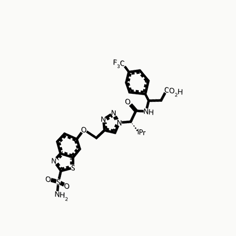 CC(C)[C@@H](C(=O)NC(CC(=O)O)c1ccc(C(F)(F)F)cc1)n1cc(COc2ccc3nc(S(N)(=O)=O)sc3c2)nn1